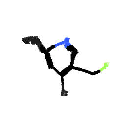 CCc1cc(C(C)C)ncc1CF